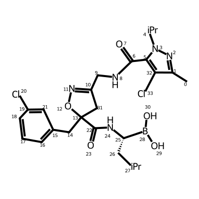 Cc1nn(C(C)C)c(C(=O)NCC2=NOC(Cc3cccc(Cl)c3)(C(=O)N[C@@H](CC(C)C)B(O)O)C2)c1Cl